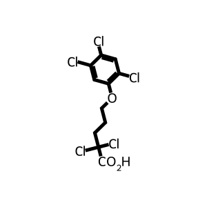 O=C(O)C(Cl)(Cl)CCCOc1cc(Cl)c(Cl)cc1Cl